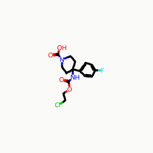 O=C(NC1(c2ccc(F)cc2)CCN(C(=O)O)CC1)OCCCl